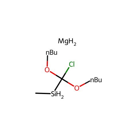 CCCCOC(Cl)(OCCCC)[SiH2]C.[MgH2]